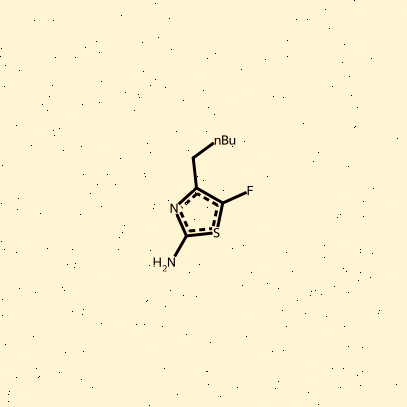 CCCCCc1nc(N)sc1F